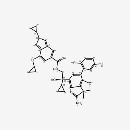 C[C@]1(C(N)=O)COc2c1cc([C@@](O)(CNC(=O)c1cc(OC3CC3)c3nn(C4CC4)cc3c1)C1CC1)nc2-c1cc(Cl)ccc1F